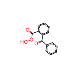 O=C(OO)c1ccccc1C(=O)c1ccccc1